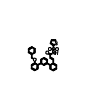 O=C(C=Cc1ccccc1-c1cccc(-c2ccccc2OCc2ccccc2)c1)NS(=O)(=O)c1cccs1